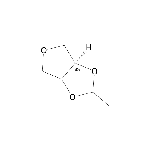 CC1OC2COC[C@H]2O1